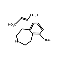 COc1cccc2c1CCNCC2.O=C(O)C=CC(=O)O